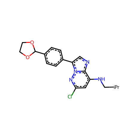 CC(C)CNc1cc(Cl)nn2c(-c3ccc(C4OCCO4)cc3)cnc12